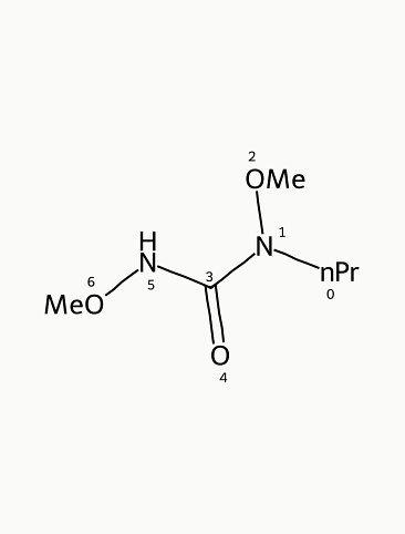 CCCN(OC)C(=O)NOC